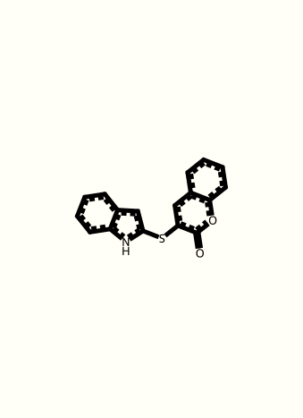 O=c1oc2ccccc2cc1Sc1cc2ccccc2[nH]1